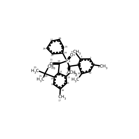 Cc1cc(C)c(C(=O)P(=O)(C(=O)c2c(C)cc(C)cc2C(C)(C)C)c2ccccc2)c(C)c1